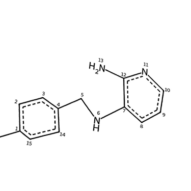 Cc1ccc(CNc2cccnc2N)cc1